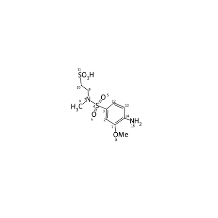 COc1cc(S(=O)(=O)N(C)CCS(=O)(=O)O)ccc1N